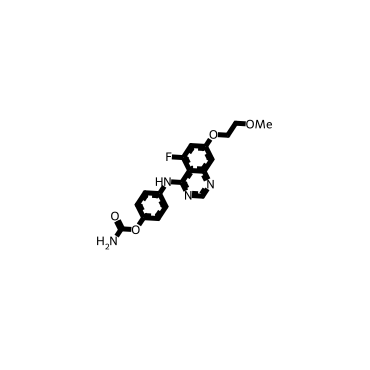 COCCOc1cc(F)c2c(Nc3ccc(OC(N)=O)cc3)ncnc2c1